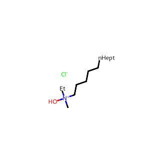 CCCCCCCCCCCC[N+](C)(O)CC.[Cl-]